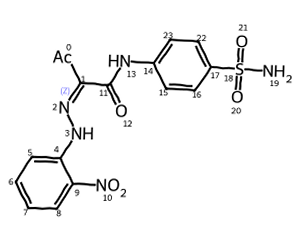 CC(=O)/C(=N/Nc1ccccc1[N+](=O)[O-])C(=O)Nc1ccc(S(N)(=O)=O)cc1